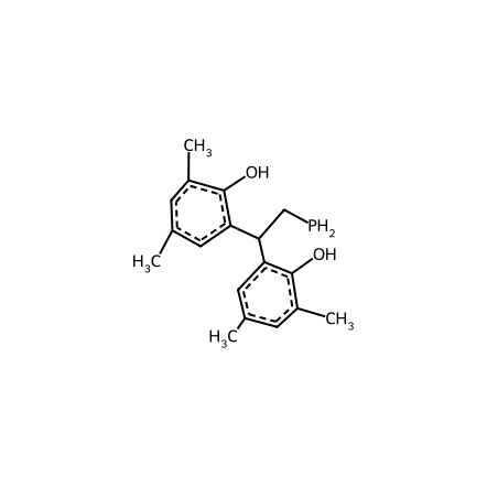 Cc1cc(C)c(O)c(C(CP)c2cc(C)cc(C)c2O)c1